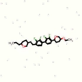 CCCC1CCC(CCc2ccc(-c3ccc(C4CCC(OCC)CO4)c(F)c3F)c(F)c2F)CO1